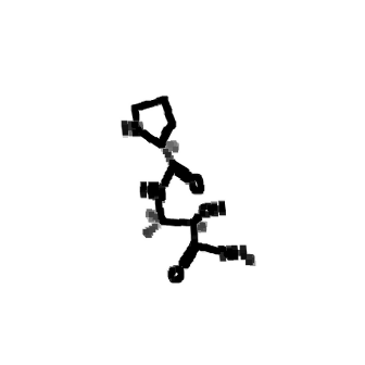 C[C@H](NC(=O)[C@H]1CCCN1)[C@@H](O)C(N)=O